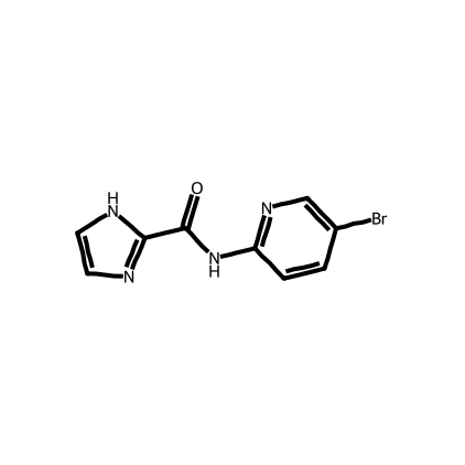 O=C(Nc1ccc(Br)cn1)c1ncc[nH]1